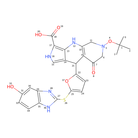 CC(C)(C)ON1CC(=O)C2=C(C1)Nc1c(c[nH]c1C(=O)O)C2c1ccc(Sc2nc3cc(O)ccc3[nH]2)o1